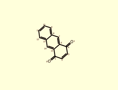 O=C1[C]=[C]C(=O)c2cc3ccccc3cc21